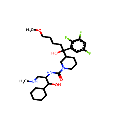 CNCC(NC(=O)N1CCCC(C(O)(CCCCOC)c2cc(F)cc(F)c2F)C1)C(O)C1CCCCC1